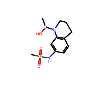 CB(O)N1CCCc2ccc(NS(C)(=O)=O)cc21